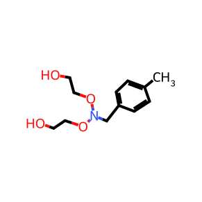 Cc1ccc(CN(OCCO)OCCO)cc1